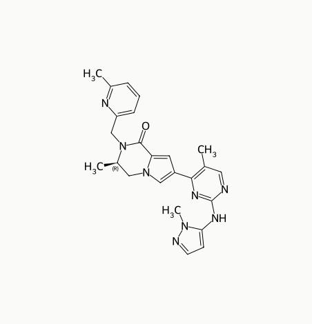 Cc1cccc(CN2C(=O)c3cc(-c4nc(Nc5ccnn5C)ncc4C)cn3C[C@H]2C)n1